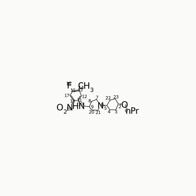 CCCO[C@H]1CC[C@@H](N2CCC(Nc3cc(C)c(F)cc3[N+](=O)[O-])CC2)CC1